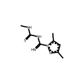 CNC(=S)NC(=N)n1nc(C)cc1C